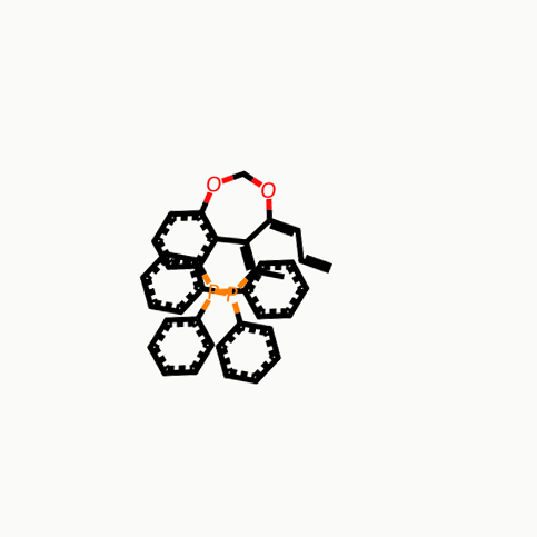 C=C/C=C1/OCOc2cccc(P(c3ccccc3)c3ccccc3)c2/C1=C(/C)P(c1ccccc1)c1ccccc1